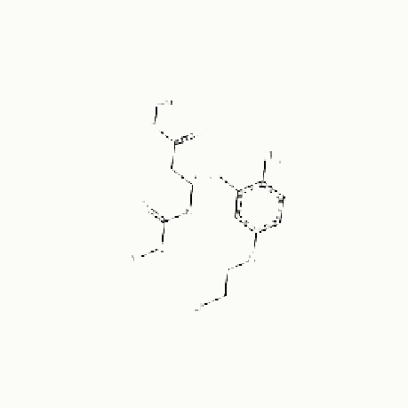 Cc1ccc(NCCCl)cc1C[C@@H](CC(=O)OC(C)(C)C)NC(=O)OC(C)(C)C